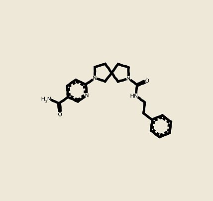 NC(=O)c1ccc(N2CCC3(CCN(C(=O)NCCc4ccccc4)C3)C2)nc1